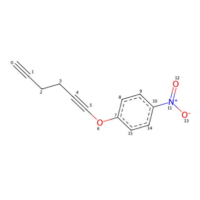 C#CCCC#COc1ccc([N+](=O)[O-])cc1